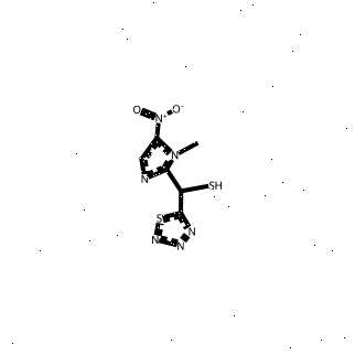 Cn1c([N+](=O)[O-])cnc1C(S)c1nnns1